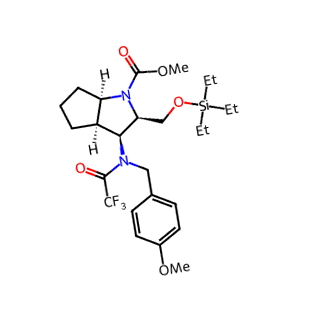 CC[Si](CC)(CC)OC[C@H]1[C@@H](N(Cc2ccc(OC)cc2)C(=O)C(F)(F)F)[C@H]2CCC[C@H]2N1C(=O)OC